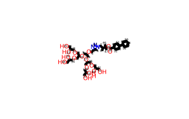 CC(Cn1cc(COC(COC(COCC(O)CO)COCC(O)CO)COC(COCC(O)CO)COCC(O)CO)nn1)C(C)(C)OC(=O)c1ccc(-c2ccccc2)cc1